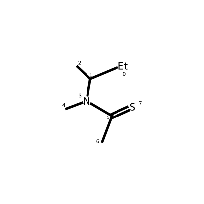 CCC(C)N(C)C(C)=S